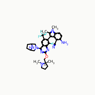 Cc1c(-c2c(C(F)(F)F)cc3c(N4CC5CCC(C4)N5)nc(OC[C@]4(C)CCCN4C)nc3c2F)c2c(C#N)c(N)ccc2n1C